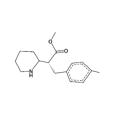 COC(=O)[C@H](Cc1ccc(C)cc1)C1CCCCN1